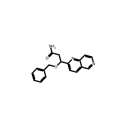 NC(=O)CC(OCc1ccccc1)c1ccc2cnccc2n1